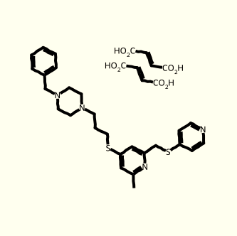 Cc1cc(SCCCN2CCN(Cc3ccccc3)CC2)cc(CSc2ccncc2)n1.O=C(O)C=CC(=O)O.O=C(O)C=CC(=O)O